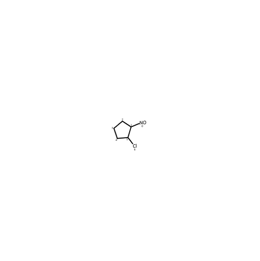 O=NC1CCCC1Cl